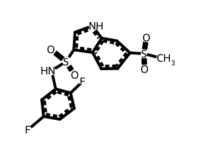 CS(=O)(=O)c1ccc2c(S(=O)(=O)Nc3cc(F)ccc3F)c[nH]c2c1